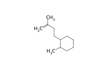 C=C(C)CCC1CCCC[C]1C